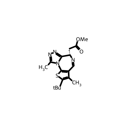 COC(=O)C[C@@H]1N=Cc2c(sc(C(C)(C)C)c2C)-n2c(C)nnc21